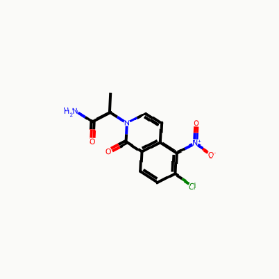 CC(C(N)=O)n1ccc2c([N+](=O)[O-])c(Cl)ccc2c1=O